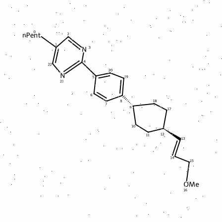 CCCCCc1cnc(-c2ccc([C@H]3CC[C@H](/C=C/COC)CC3)cc2)nc1